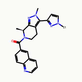 CCn1ccc(-c2c3c(nn2C)[C@H](C)N(C(=O)c2ccc4ncccc4c2)CC3)n1